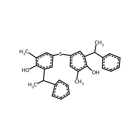 Cc1cc(Sc2cc(C)c(O)c(C(C)c3ccccc3)c2)cc(C(C)c2ccccc2)c1O